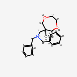 COC1(CN(Cc2ccccc2)Cc2ccccc2)COCCOC1